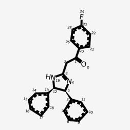 O=C(CC1=N[C@@H](c2ccccc2)[C@@H](c2ccccc2)N1)c1ccc(F)cc1